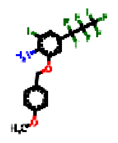 COc1ccc(COc2cc(C(F)(F)C(F)(F)C(F)(F)F)cc(F)c2N)cc1